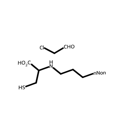 CCCCCCCCCCCCNC(CS)C(=O)O.O=CCCl